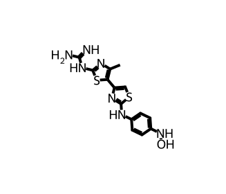 Cc1nc(NC(=N)N)sc1-c1csc(Nc2ccc(NO)cc2)n1